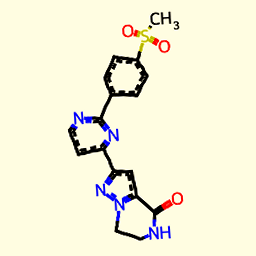 CS(=O)(=O)c1ccc(-c2nccc(-c3cc4n(n3)CCNC4=O)n2)cc1